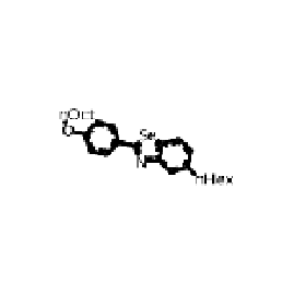 CCCCCCCCOc1ccc(-c2nc3cc(CCCCCC)ccc3[se]2)cc1